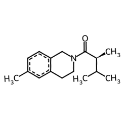 Cc1ccc2c(c1)CCN(C(=O)[C@@H](C)C(C)C)C2